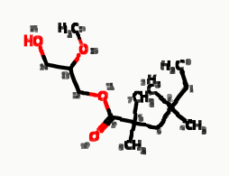 CCC(C)(C)CC(C)(C)C(=O)OCC(CO)OC